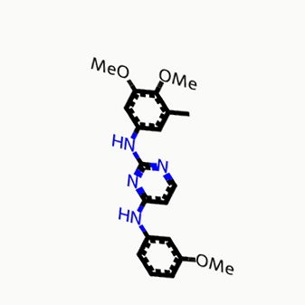 COc1cccc(Nc2ccnc(Nc3cc(C)c(OC)c(OC)c3)n2)c1